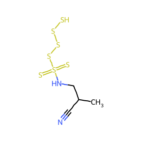 CC(C#N)CNS(=S)(=S)SSSS